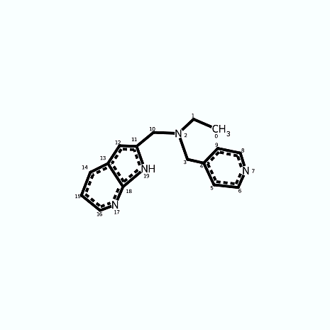 CCN(Cc1ccncc1)Cc1cc2cccnc2[nH]1